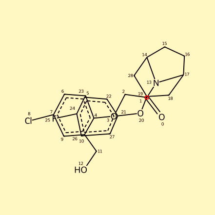 O=C(COc1ccc(Cl)cc1CO)N1C2CCC1CC(Oc1ccc(F)cc1)C2